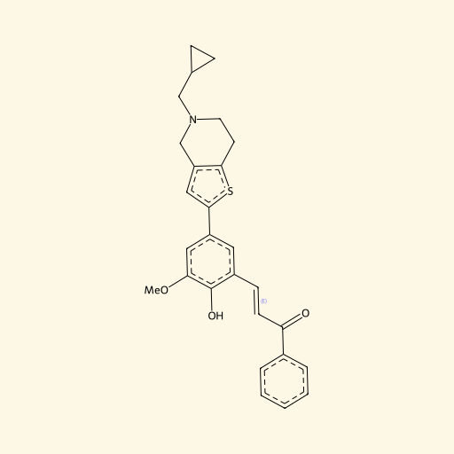 COc1cc(-c2cc3c(s2)CCN(CC2CC2)C3)cc(/C=C/C(=O)c2ccccc2)c1O